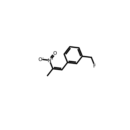 CC(=Cc1cccc(CF)c1)[N+](=O)[O-]